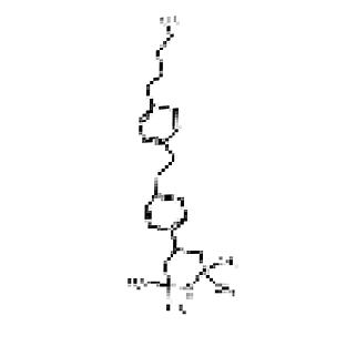 CCCCCc1ccc(CCc2ccc(C3CC(C)(C)NC(C)(C)C3)cc2)cc1